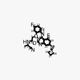 CC(C#N)NC(=O)COc1cc(F)ccc1Nc1ncnc2cc(N=S3CCC3)cc(F)c12